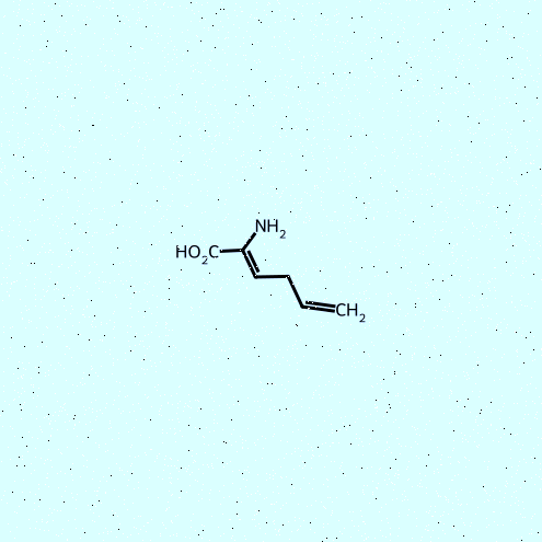 C=CCC=C(N)C(=O)O